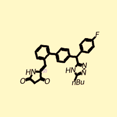 CCCCc1nnc(C(c2ccc(F)cc2)c2ccc(-c3ccccc3/C=C3\NC(=O)CC3=O)cc2)[nH]1